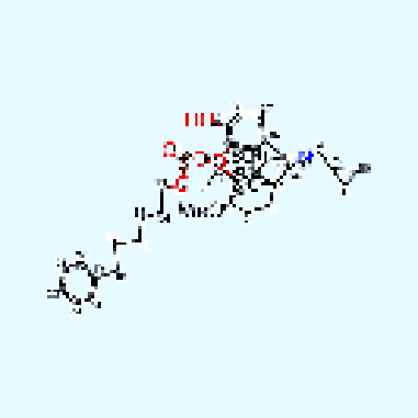 COC12CCC3(CC1C(C)(OS(=O)OCCCCCCc1ccccc1)C(C)(C)C)C1N(CC4CC4)C14CC31c3c4ccc(O)c3OC21